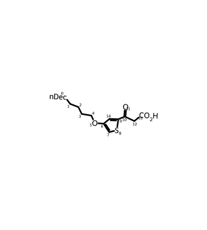 CCCCCCCCCCCCCCOc1csc(C(=O)CC(=O)O)c1